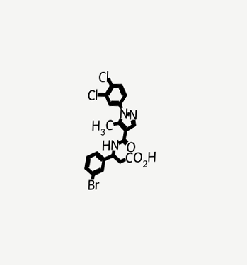 Cc1c(C(=O)NC(CC(=O)O)c2cccc(Br)c2)cnn1-c1ccc(Cl)c(Cl)c1